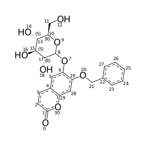 O=c1ccc2cc(OC3O[C@H](CO)[C@@H](O)[C@H](O)[C@H]3O)c(OCc3ccccc3)cc2o1